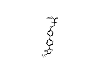 COC(=O)C(C)(C)COc1ccc(-c2ccc(-c3ncc(C(F)(F)F)[nH]3)cn2)cc1